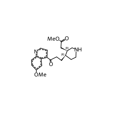 COC(=O)C[C@H]1CNCC[C@H]1CCC(=O)c1ccnc2ccc(OC)cc12